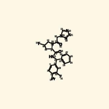 CC(C)c1ccc(C(NC(=O)C2CC(F)CN2C(=O)Cn2cnnn2)c2ccccc2)cc1F